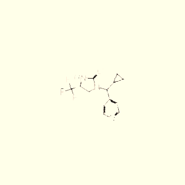 O=C1N[C@H](C(F)(F)F)CN1C(c1ccncc1)C1CC1